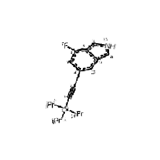 CC(C)[Si](C#Cc1cc(F)c2c[nH]cc2c1)(C(C)C)C(C)C